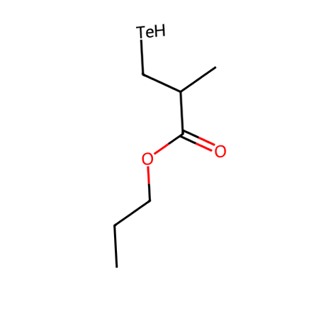 CCCOC(=O)C(C)C[TeH]